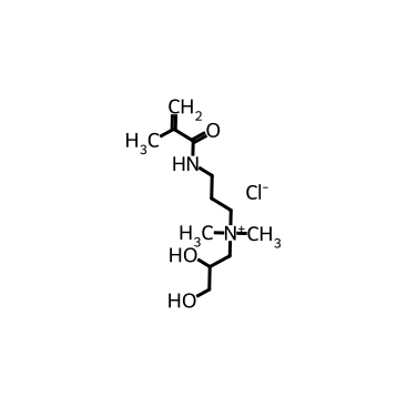 C=C(C)C(=O)NCCC[N+](C)(C)CC(O)CO.[Cl-]